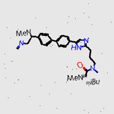 C=NCC(NC)c1ccc(-c2ccc(-c3cnc(CCCN(C)C(=O)[C@@H](NC)[C@H](C)CC)[nH]3)cc2)cc1